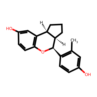 Cc1cc(O)ccc1[C@H]1Oc2ccc(O)cc2[C@H]2CCC[C@H]21